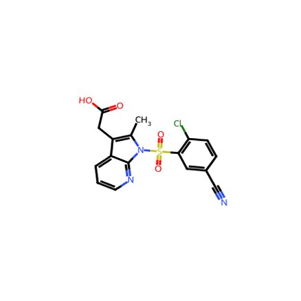 Cc1c(CC(=O)O)c2cccnc2n1S(=O)(=O)c1cc(C#N)ccc1Cl